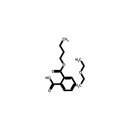 CCCCOC(=O)c1ccccc1C(=O)O.CCOCC